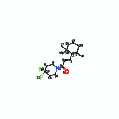 CC1=C(C=CC(=O)N2CCC(F)(F)CC2)C(C)(C)CCC1